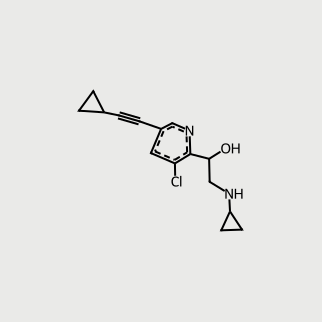 OC(CNC1CC1)c1ncc(C#CC2CC2)cc1Cl